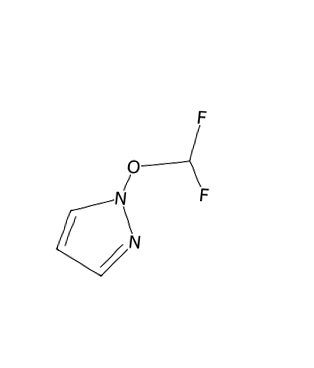 FC(F)On1cccn1